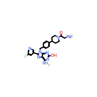 CNCC(=O)N1CCC(c2ccc(Cn3c(-c4cncc(F)c4)nc4c(N)nc(O)nc43)cc2)CC1